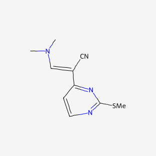 CSc1nccc(C(C#N)=CN(C)C)n1